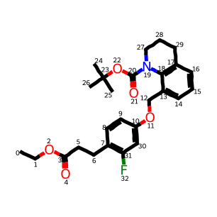 CCOC(=O)CCc1ccc(OCc2cccc3c2N(C(=O)OC(C)(C)C)CCC3)cc1F